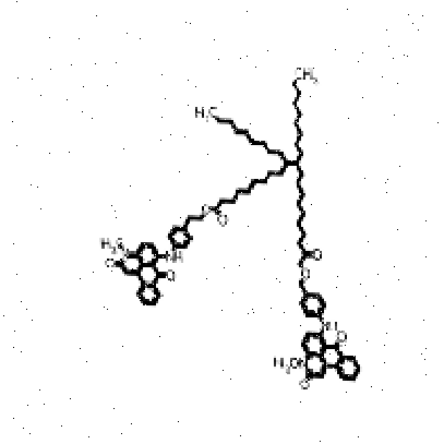 CCCCCCCCCC(CCCCCCCCC(=O)COCc1ccc(Nc2ccc3c4c(cc(=O)n3C)-c3ccccc3C(=O)c24)cc1)C(CCCCCCCCC)CCCCCCCCC(=O)OCCc1ccc(Nc2ccc3c4c(cc(=O)n3C)-c3ccccc3C(=O)c24)cc1